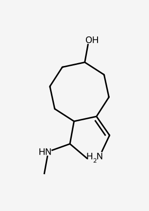 CNC(C)C1CCCC(O)CC/C1=C/N